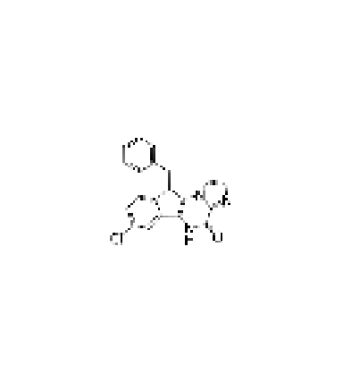 O=c1[nH]c2c(n3ccnc13)C(Cc1ccccc1)c1ccc(Cl)cc1-2